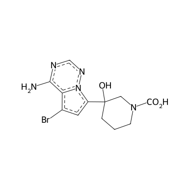 Nc1ncnn2c(C3(O)CCCN(C(=O)O)C3)cc(Br)c12